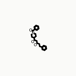 O=C(CCc1ccccc1)CC(=O)C1CCN(C(=O)c2ccccc2)CC1